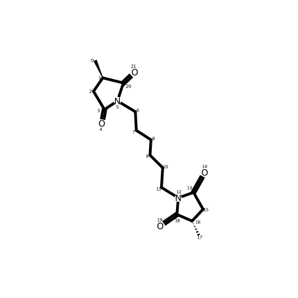 C[C@@H]1CC(=O)N(CCCCCCN2C(=O)C[C@H](C)C2=O)C1=O